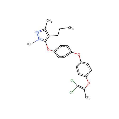 CCCc1c(C)nn(C)c1Oc1ccc(Oc2ccc(OC(C)=C(Cl)Cl)cc2)cc1